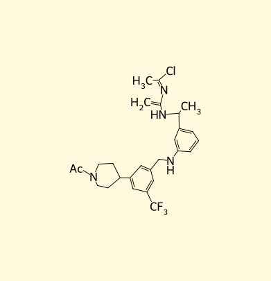 C=C(/N=C(\C)Cl)NC(C)c1cccc(NCc2cc(C3CCN(C(C)=O)CC3)cc(C(F)(F)F)c2)c1